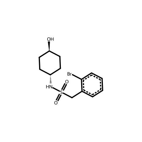 O=S(=O)(Cc1ccccc1Br)N[C@H]1CC[C@H](O)CC1